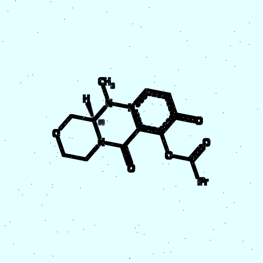 CC(C)C(=O)Oc1c2n(ccc1=O)N(C)[C@@H]1COCCN1C2=O